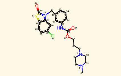 CN1CCN(CCCOC(=O)Nc2cccc(Cn3c(=O)sc4ccc(Cl)cc43)c2)CC1